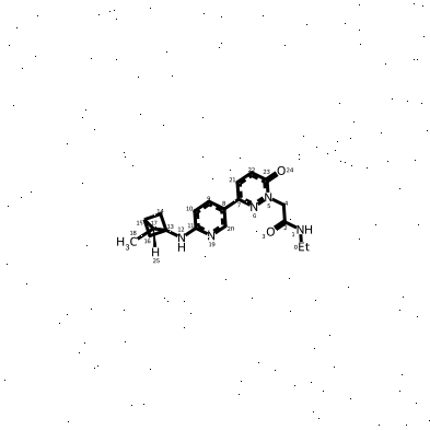 CCNC(=O)Cn1nc(-c2ccc(NC34CC(C3)[C@H]4C)nc2)ccc1=O